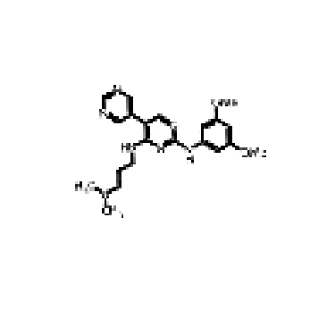 COc1cc(Nc2ncc(-c3cncnc3)c(NCCCN(C)C)n2)cc(OC)c1